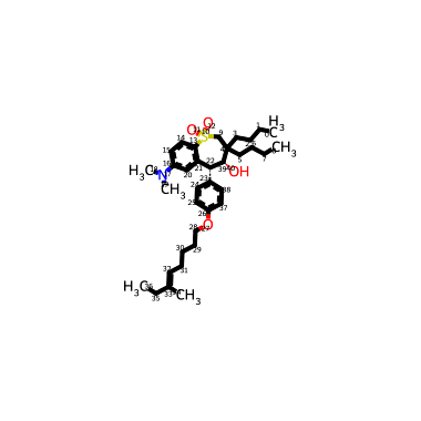 CCCCC1(CCCC)CS(=O)(=O)c2ccc(N(C)C)cc2[C@@H](c2ccc(OCCCC/C=C(\C)CC)cc2)[C@H]1O